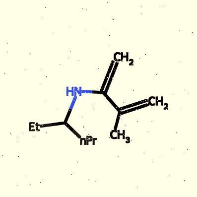 C=C(C)C(=C)NC(CC)CCC